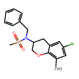 CS(=O)(=O)N(Cc1ccccc1)C1COc2c(C=O)cc(Br)cc2C1